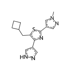 Cn1cc(-c2nc(-c3cn[nH]c3)c(CC3CCC3)s2)cn1